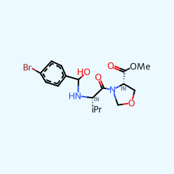 COC(=O)[C@@H]1COCN1C(=O)[C@@H](NC(O)c1ccc(Br)cc1)C(C)C